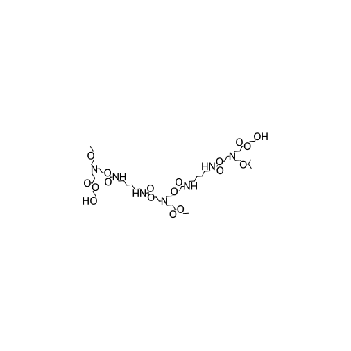 CCOCCN(CCOC(=O)NCCCCCCNC(=O)OCCN(CCOCC(=O)NCCCCCCNC(=O)OCCN(CCOC(C)C)CCC(=O)OCCO)CCC(=O)OCC)CCC(=O)OCCO